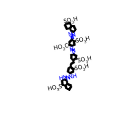 O=C(O)c1cc(-n2n3c4ccc5cc(S(=O)(=O)O)ccc5c4n23)c(S(=O)(=O)O)cc1N=Nc1ccc(C=Cc2ccc(Nn3[nH]c4cc(S(=O)(=O)O)c5ccccc5c43)cc2S(=O)(=O)O)c(S(=O)(=O)O)c1